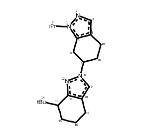 CC(C)n1ncc2c1CC(n1cc3c(n1)C(C(C)(C)C)CCC3)CC2